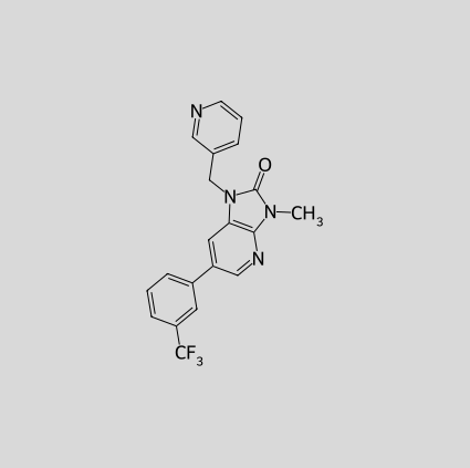 Cn1c(=O)n(Cc2cccnc2)c2cc(-c3cccc(C(F)(F)F)c3)cnc21